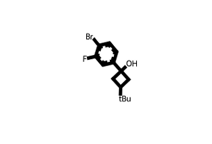 CC(C)(C)C1CC(O)(c2ccc(Br)c(F)c2)C1